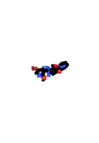 COc1ncc(Br)cc1-c1nc2ccc(N3CC4CCC(C3)N4C(=O)OC(C)(C)C)cc2[nH]1